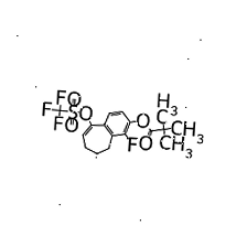 CC(C)(C)C(=O)Oc1ccc2c(c1F)CCCC=C2OS(=O)(=O)C(F)(F)F